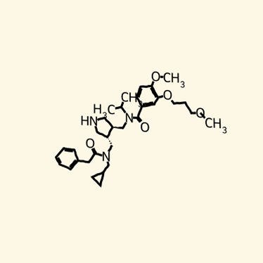 COCCCOc1cc(C(=O)N(C[C@@H]2CNC[C@H]2CN(CC2CC2)C(=O)Cc2ccccc2)C(C)C)ccc1OC